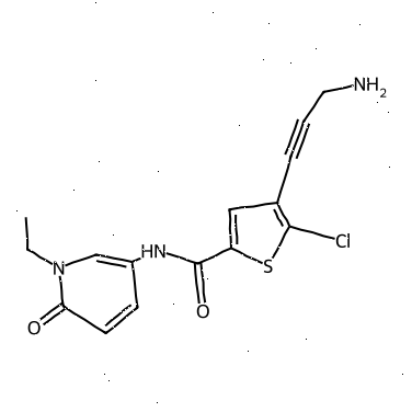 CCn1cc(NC(=O)c2cc(C#CCN)c(Cl)s2)ccc1=O